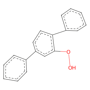 OOc1cc(-c2ccccc2)ccc1-c1ccccc1